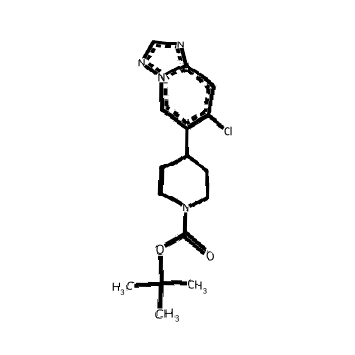 CC(C)(C)OC(=O)N1CCC(c2cn3ncnc3cc2Cl)CC1